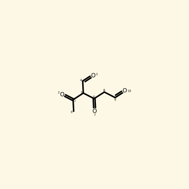 CC(=O)C(C=O)C(=O)CC=O